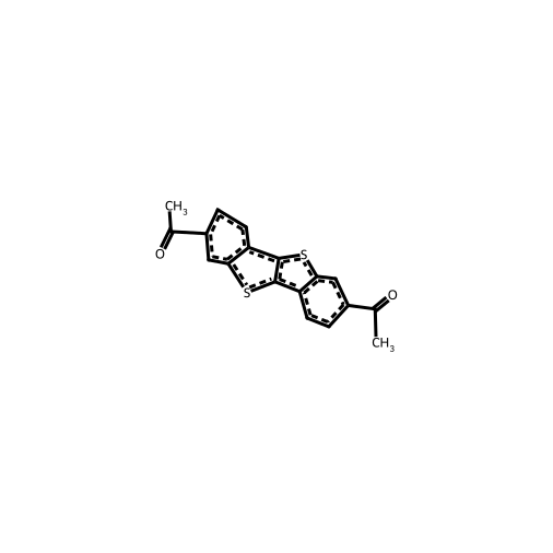 CC(=O)c1ccc2c(c1)sc1c3ccc(C(C)=O)cc3sc21